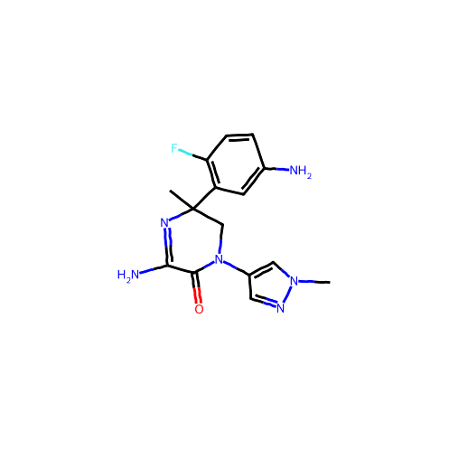 Cn1cc(N2CC(C)(c3cc(N)ccc3F)N=C(N)C2=O)cn1